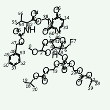 COC1O[C@@H]2[C@@](CF)(COP(=O)(OCOC(=O)OC(C)C)OCOC(=O)OC(C)C)O[C@@H](n3ccc(=O)n(COC(=O)C(NC(=O)OCc4ccccc4)C(C)C)c3=O)[C@]2(C)O1